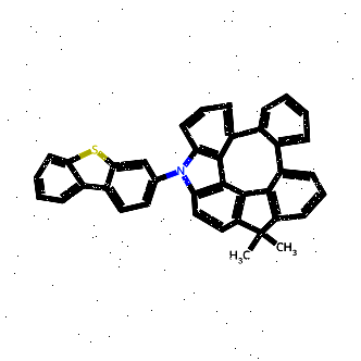 CC1(C)c2cccc3c4ccccc4c4cccc5c4c4c(c1ccc4n5-c1ccc4c(c1)sc1ccccc14)c23